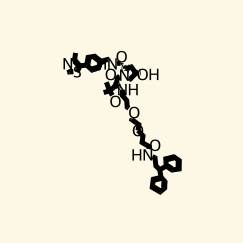 Cc1ncsc1-c1ccc(CNC(=O)[C@@H]2C[C@@H](O)CN2C(=O)[C@@H](NC(=O)CCOCCOCCC(=O)NCCC(c2ccccc2)c2ccccc2)C(C)(C)C)cc1